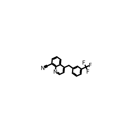 N#Cc1cccc2c(Cc3cccc(C(F)(F)F)c3)ccnc12